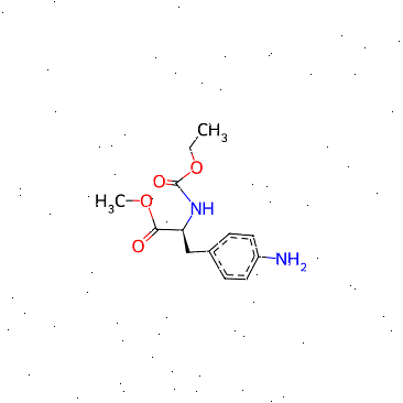 CCOC(=O)N[C@@H](Cc1ccc(N)cc1)C(=O)OC